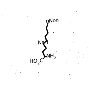 CCCCCCCCCCCCCCCCC[C@@H](N)C(=O)O.[NaH]